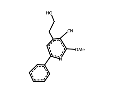 COc1nc(-c2ccccc2)cc(CCO)c1C#N